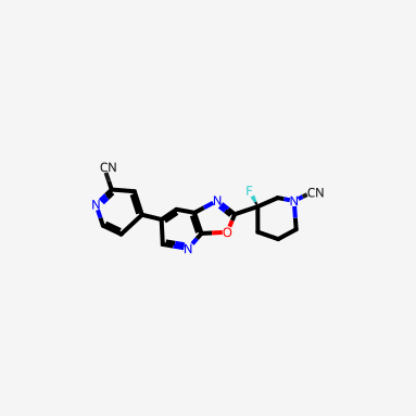 N#Cc1cc(-c2cnc3oc([C@@]4(F)CCCN(C#N)C4)nc3c2)ccn1